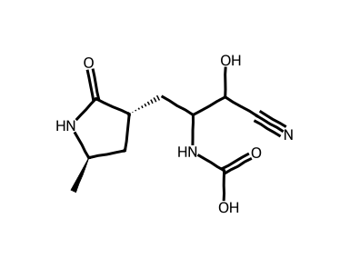 C[C@@H]1C[C@@H](CC(NC(=O)O)C(O)C#N)C(=O)N1